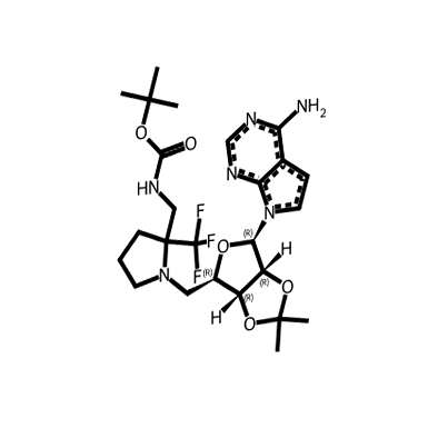 CC(C)(C)OC(=O)NCC1(C(F)(F)F)CCCN1C[C@H]1O[C@@H](n2ccc3c(N)ncnc32)[C@@H]2OC(C)(C)O[C@@H]21